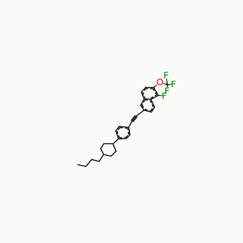 CCCCC1CCC(c2ccc(C#Cc3ccc4c(F)c(OC(F)(F)F)ccc4c3)cc2)CC1